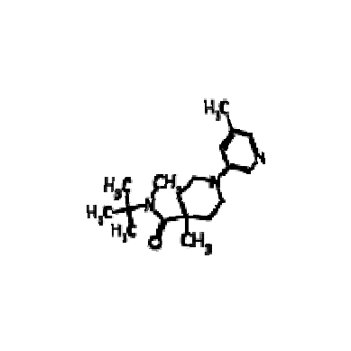 Cc1cncc(N2CCC(C)(C(=O)N(C)C(C)(C)C)CC2)c1